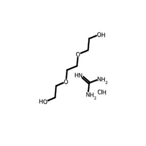 Cl.N=C(N)N.OCCOCCOCCO